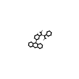 Cc1oc2ccccc2c1-c1c(C)oc2ccc(-c3c4ccccc4cc4ccccc34)cc12